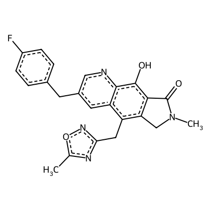 Cc1nc(Cc2c3c(c(O)c4ncc(Cc5ccc(F)cc5)cc24)C(=O)N(C)C3)no1